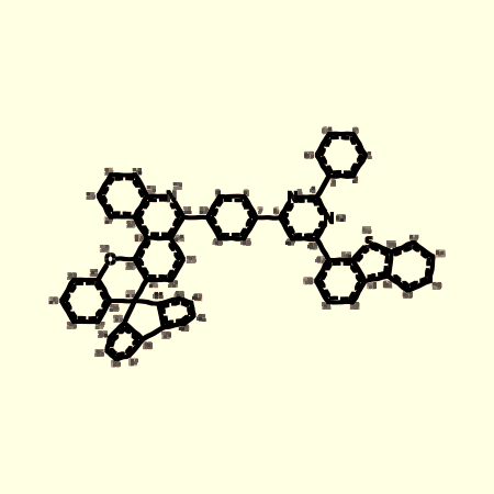 c1ccc(-c2nc(-c3ccc(-c4nc5ccccc5c5c6c(ccc45)C4(c5ccccc5O6)c5ccccc5-c5ccccc54)cc3)cc(-c3cccc4c3sc3ccccc34)n2)cc1